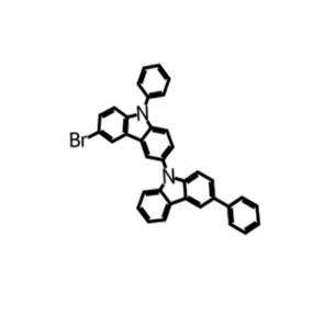 Brc1ccc2c(c1)c1cc(-n3c4ccccc4c4cc(-c5ccccc5)ccc43)ccc1n2-c1ccccc1